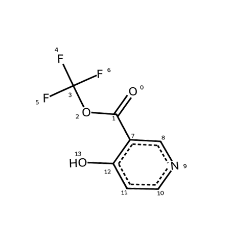 O=C(OC(F)(F)F)c1cnccc1O